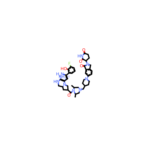 CC1CN(CC2CCN(c3ccc4c(c3)C(=O)N(C3CCC(=O)NC3=O)C4)CC2)CC(C)N1C(=O)C1CC2CNC(N)=C(/C=C(\N)c3cccc(F)c3O)N2C1